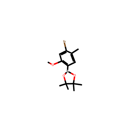 COc1cc(Br)c(C)cc1B1OC(C)(C)C(C)(C)O1